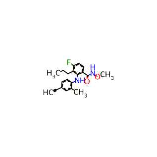 C#Cc1ccc(Nc2c(C(=O)NOC)ccc(F)c2CCC)c(C)c1